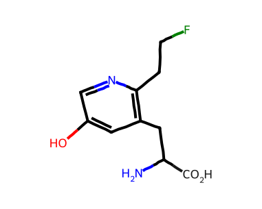 NC(Cc1cc(O)cnc1CCF)C(=O)O